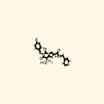 Cc1c(=O)n(Cc2ccc(F)cc2)c(=O)n2cc(C(=O)NCc3ccncc3)sc12.Cl